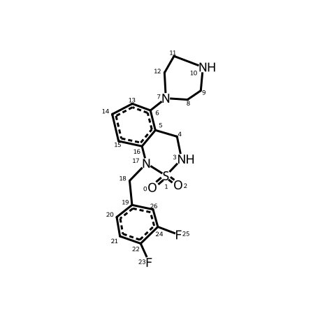 O=S1(=O)NCc2c(N3CCNCC3)cccc2N1Cc1ccc(F)c(F)c1